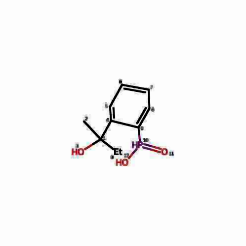 CCC(C)(O)c1ccccc1[PH](=O)O